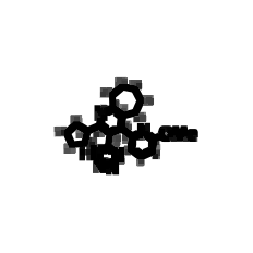 COc1cccc(-c2c3c(nc(C4CCCC4)c2-c2nnn[nH]2)CCCCC3)n1